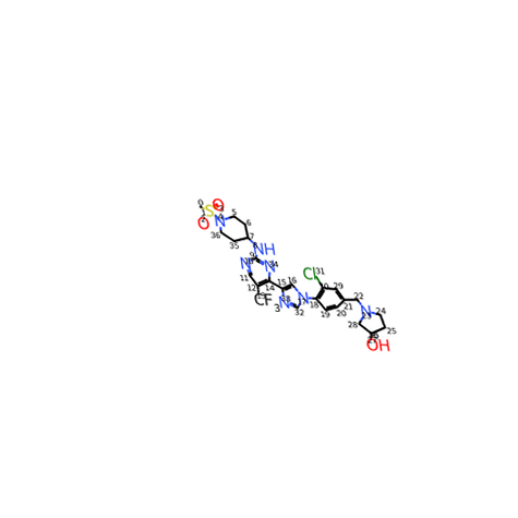 CS(=O)(=O)N1CCC(Nc2ncc(C(F)(F)F)c(-c3cn(-c4ccc(CN5CC[C@@H](O)C5)cc4Cl)cn3)n2)CC1